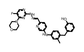 Cc1cc(Nc2ccc(/C=N/Nc3ncc(F)c(N4CCOCC4)n3)nc2)ccc1Cc1cccc(O)c1